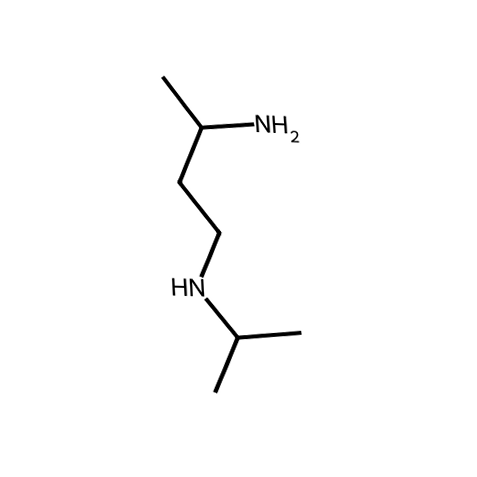 CC(N)CCNC(C)C